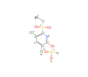 CC(C)CS(=O)(=O)c1nc(OS(C)(=O)=O)c(Cl)cc1Cl